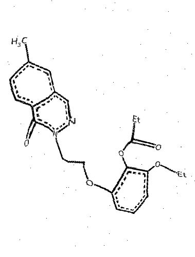 CCOc1cccc(OCCn2ncc3cc(C)ccc3c2=O)c1OC(=O)CC